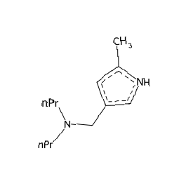 CCCN(CCC)Cc1c[nH]c(C)c1